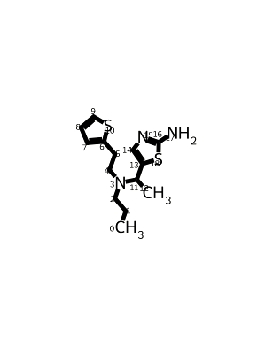 CCCN(CCc1cccs1)C(C)c1cnc(N)s1